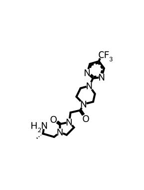 C[C@H](N)CN1CCN(CC(=O)N2CCN(c3ncc(C(F)(F)F)cn3)CC2)C1=O